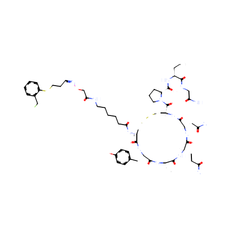 CCC(C)[C@@H]1NC(=O)[C@H](Cc2ccc(O)cc2)NC(=O)[C@@H](NC(=O)CCCCCNC(=O)CO/N=C\CCSc2ccccc2CF)CSSC[C@@H](C(=O)N2CCC[C@H]2C(=O)N[C@@H](CC(C)C)C(=O)NCC(N)=O)NC(=O)[C@H](CC(N)=O)NC(=O)[C@H](CCC(N)=O)NC1=O